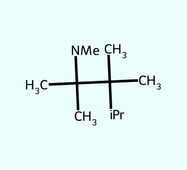 CNC(C)(C)C(C)(C)C(C)C